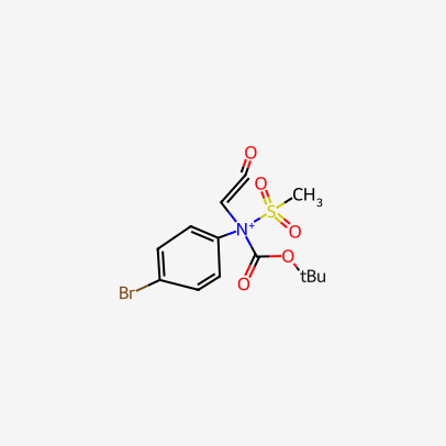 CC(C)(C)OC(=O)[N+](C=C=O)(c1ccc(Br)cc1)S(C)(=O)=O